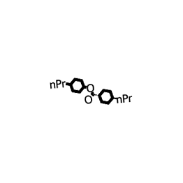 CCCC1CCC(OC(=O)[C@H]2CC[C@H](CCC)CC2)CC1